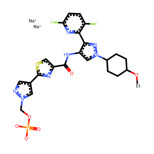 CCOC1CCC(n2cc(NC(=O)c3csc(-c4cnn(COP(=O)([O-])[O-])c4)n3)c(-c3nc(F)ccc3F)n2)CC1.[Na+].[Na+]